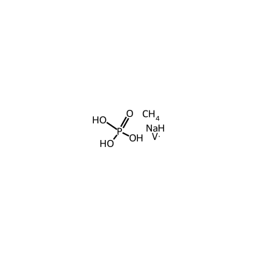 C.O=P(O)(O)O.[NaH].[V]